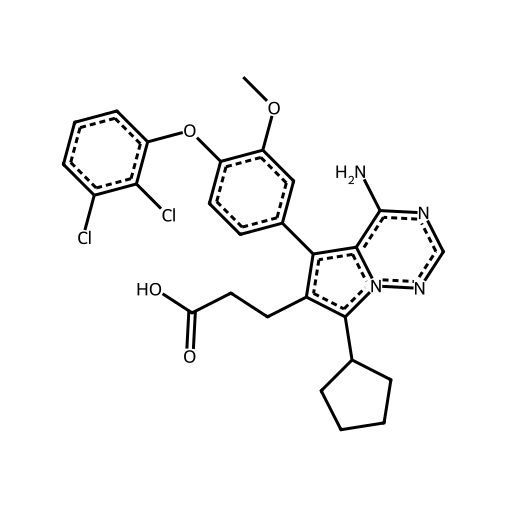 COc1cc(-c2c(CCC(=O)O)c(C3CCCC3)n3ncnc(N)c23)ccc1Oc1cccc(Cl)c1Cl